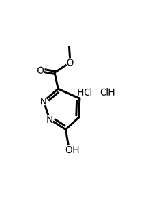 COC(=O)c1ccc(O)nn1.Cl.Cl